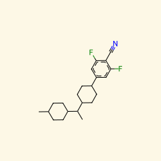 CC1CCC(C(C)C2CCC(c3cc(F)c(C#N)c(F)c3)CC2)CC1